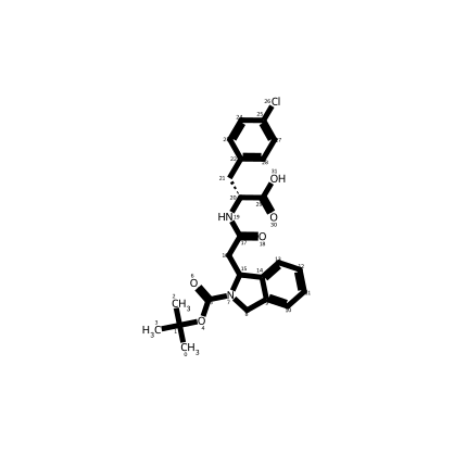 CC(C)(C)OC(=O)N1Cc2ccccc2C1CC(=O)N[C@H](Cc1ccc(Cl)cc1)C(=O)O